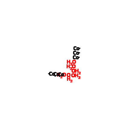 O.O.O.O.O.O.[Co].[Co].[Co].[Co].[Co].[Co]